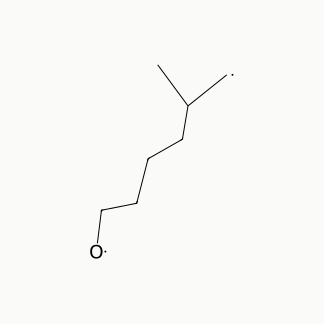 [CH2]C(C)CCCC[O]